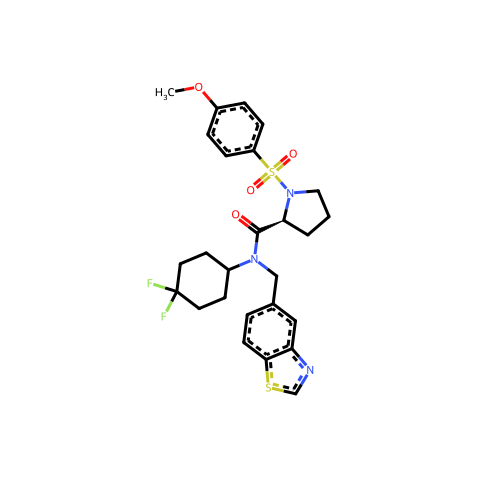 COc1ccc(S(=O)(=O)N2CCC[C@H]2C(=O)N(Cc2ccc3scnc3c2)C2CCC(F)(F)CC2)cc1